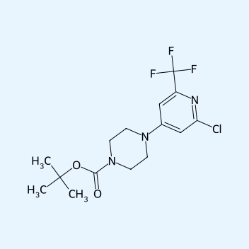 CC(C)(C)OC(=O)N1CCN(c2cc(Cl)nc(C(F)(F)F)c2)CC1